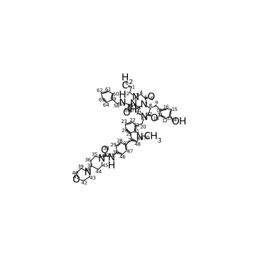 C=CCN1CC(=O)N2[C@@H](Cc3ccc(O)cc3)C(=O)N(Cc3cccc4c(-c5ccc(NC(=O)N6CCC(N7CCOCC7)CC6)cc5)cn(C)c34)C[C@@H]2N1C(=O)NCc1ccccc1